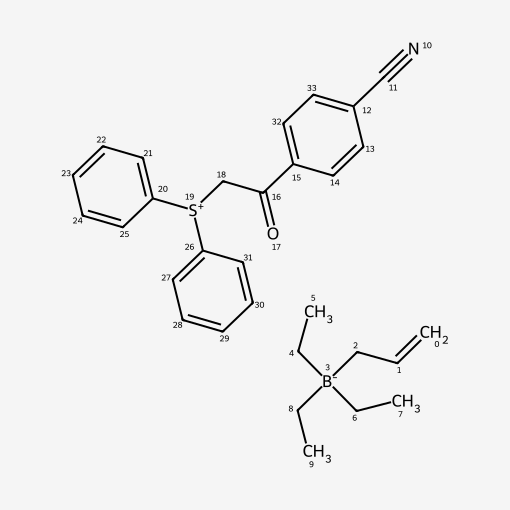 C=CC[B-](CC)(CC)CC.N#Cc1ccc(C(=O)C[S+](c2ccccc2)c2ccccc2)cc1